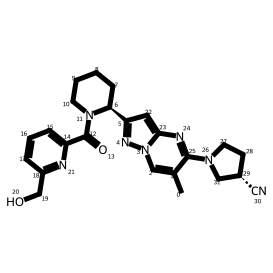 Cc1cn2nc([C@@H]3CCCCN3C(=O)c3cccc(CO)n3)cc2nc1N1CC[C@H](C#N)C1